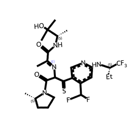 CC[C@H](Nc1cc(C(F)F)c(C(=S)C(/N=C(\C)C(=O)N[C@@H](C)C(C)(C)O)C(=O)N2CCC[C@@H]2C)cn1)C(F)(F)F